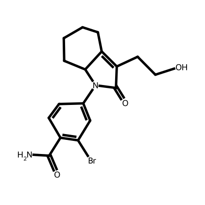 NC(=O)c1ccc(N2C(=O)C(CCO)=C3CCCCC32)cc1Br